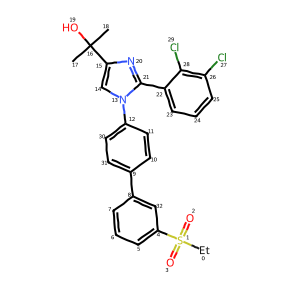 CCS(=O)(=O)c1cccc(-c2ccc(-n3cc(C(C)(C)O)nc3-c3cccc(Cl)c3Cl)cc2)c1